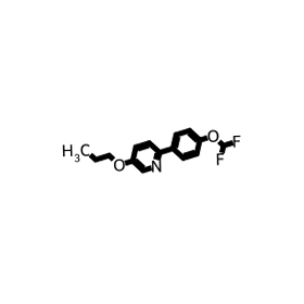 CCCOc1ccc(-c2ccc(OC(F)F)cc2)nc1